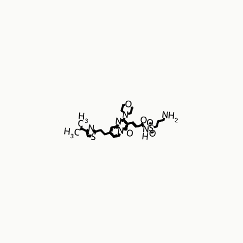 CC(C)c1csc(CCc2ccn3c(=O)c(C=CC(=O)NS(=O)(=O)CCCN)c(N4CCOCC4)nc3c2)n1